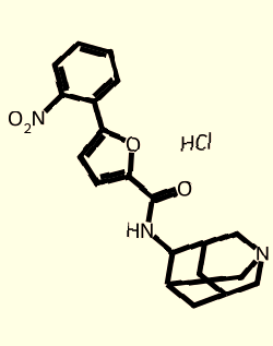 Cl.O=C(NC1C2CC3CC1CN(C3)C2)c1ccc(-c2ccccc2[N+](=O)[O-])o1